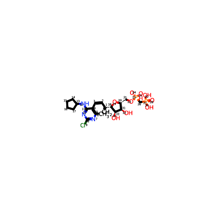 C=C(/C=C\c1c(C)nc(Cl)nc1NC1CCCC1)[C@@H]1O[C@H](COP(=O)(O)CP(=O)(O)O)[C@@H](O)[C@H]1O